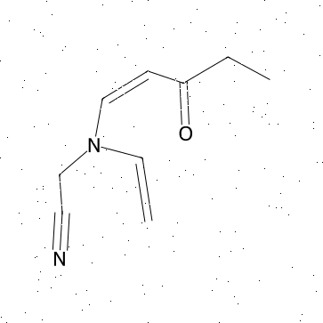 C=CN(/C=C\C(=O)CC)CC#N